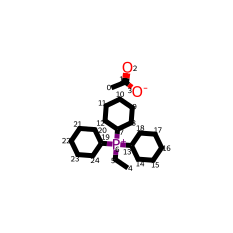 CC(=O)[O-].CC[P+](C1CCCCC1)(C1CCCCC1)C1CCCCC1